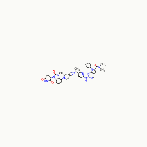 C[C@H](c1ccc(Nc2ncc3cc(C(=O)N(C)C)n(C4CCCC4)c3n2)nc1)N1CC2(CCN(c3cccc4c3n(C)c(=O)n4[C@@H]3CCC(=O)NC3=O)CC2)C1